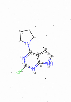 Clc1nc(N2CCCC2)c2cc[nH]c2n1